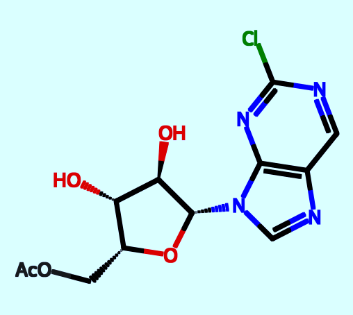 CC(=O)OC[C@H]1O[C@@H](n2cnc3cnc(Cl)nc32)[C@H](O)[C@H]1O